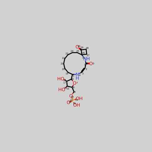 O=C1/C=C\NC(C2OC(COP(=O)(O)O)C(O)C2O)CCCCCCCC2(CCC2=O)N1